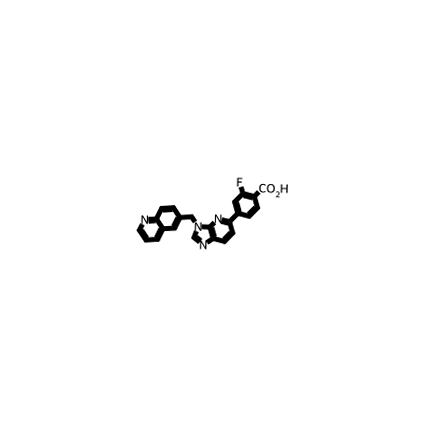 O=C(O)c1ccc(-c2ccc3ncn(Cc4ccc5ncccc5c4)c3n2)cc1F